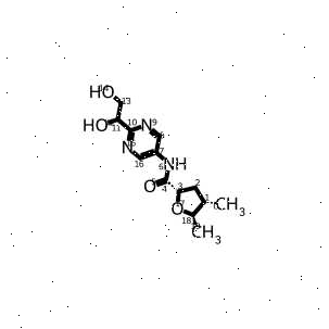 C[C@H]1C[C@@H](C(=O)Nc2cnc(C(O)CO)nc2)O[C@@H]1C